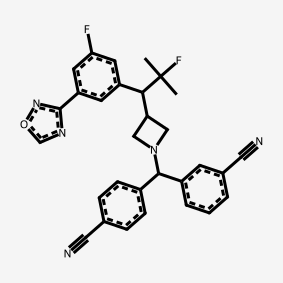 CC(C)(F)C(c1cc(F)cc(-c2ncon2)c1)C1CN(C(c2ccc(C#N)cc2)c2cccc(C#N)c2)C1